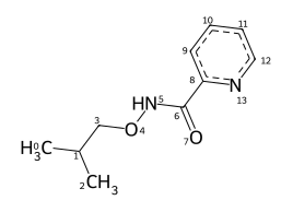 CC(C)CONC(=O)c1ccccn1